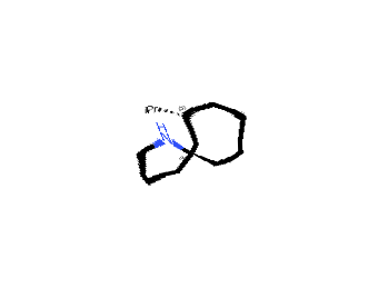 CC(C)[C@@H]1CCCC[C@]12CCCN2